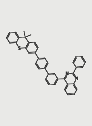 CC1(C)c2ccccc2Sc2cc(-c3ccc(-c4cccc(-c5nc(-c6ccccc6)nc6ccccc56)c4)cc3)ccc21